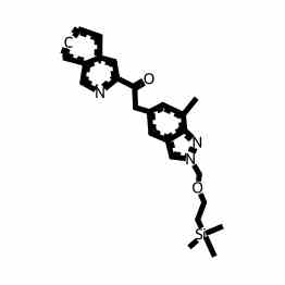 Cc1cc(CC(=O)c2cc3ccccc3cn2)cc2cn(COCC[Si](C)(C)C)nc12